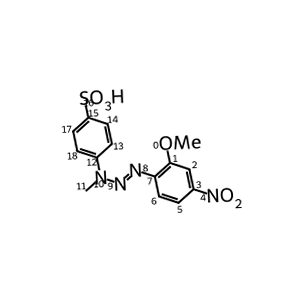 COc1cc([N+](=O)[O-])ccc1/N=N/N(C)c1ccc(S(=O)(=O)O)cc1